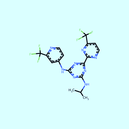 CC(C)Nc1nc(Nc2ccnc(C(F)(F)F)c2)nc(-c2nccc(C(F)(F)F)n2)n1